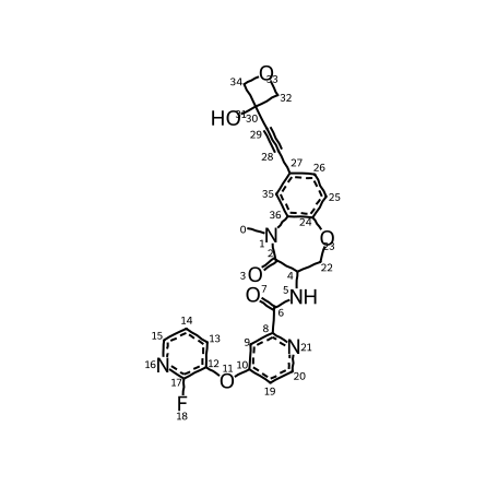 CN1C(=O)C(NC(=O)c2cc(Oc3cccnc3F)ccn2)COc2ccc(C#CC3(O)COC3)cc21